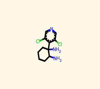 NC1CCCCC1(N)c1c(Cl)cncc1Cl